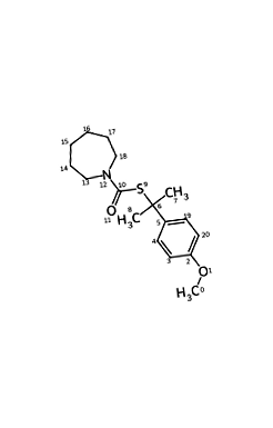 COc1ccc(C(C)(C)SC(=O)N2CCCCCC2)cc1